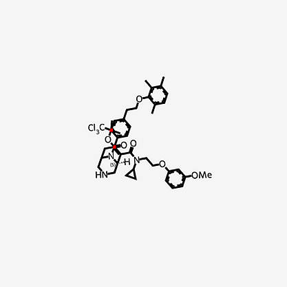 COc1cccc(OCCN(C(=O)C2=C(c3ccc(CCOc4c(C)ccc(C)c4C)cc3)CC3CNC[C@H]2N3C(=O)OC(C)(C)C(Cl)(Cl)Cl)C2CC2)c1